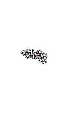 c1ccc(-c2ccc3ccc(-c4ccccc4)c(N(c4ccccc4)c4ccc5ccc6c(N(c7ccccc7)c7c(-c8ccccc8)ccc8ccc(-c9ccccc9)cc78)ccc7ccc4c5c76)c3c2)cc1